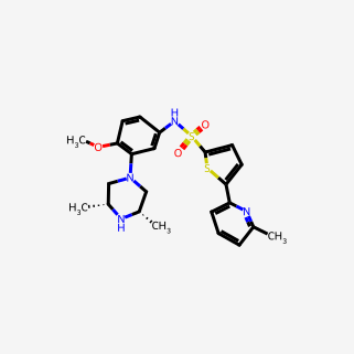 COc1ccc(NS(=O)(=O)c2ccc(-c3cccc(C)n3)s2)cc1N1C[C@@H](C)N[C@@H](C)C1